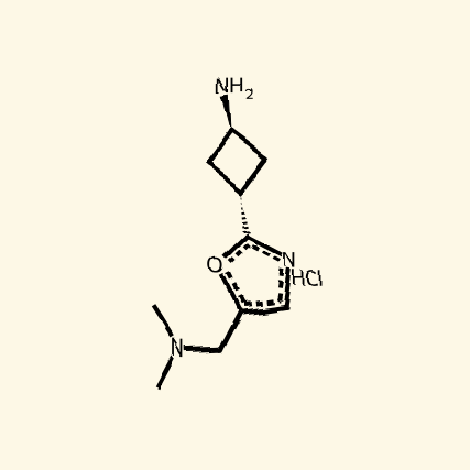 CN(C)Cc1cnc([C@H]2C[C@H](N)C2)o1.Cl